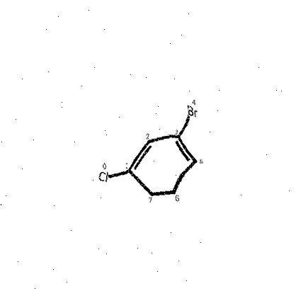 ClC1=CC(Br)=CCC1